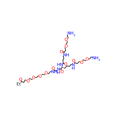 CCC(=O)CCOCCOCCOCCOCCNC(=O)CNC(=O)[C@H](CCCCNC(=O)CCOCCOCCN)NC(=O)CCCNC(=O)CCOCCOCCN